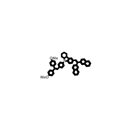 COc1ccc(C(=Cc2ccc(N3c4ccc(C=C(c5ccc6ccccc6c5)c5ccc6ccccc6c5)cc4C4CCCCC43)cc2)c2ccc(OC)cc2)cc1